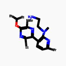 CCc1nc(OC(CC)CC)c(NC)nc1-c1ccc(C(C)C)nc1N(C)CCN